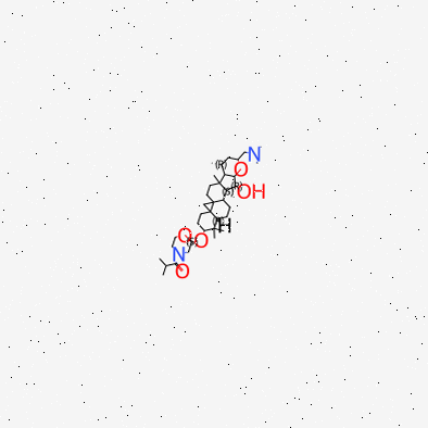 CC(C)C(=O)N1CCO[C@@H](OC2CCC34CC35CCC3(C)C6C(OC(CN(C)C)C[C@H]6C)[C@H](O)[C@@]3(C)C5CC[C@H]4C2(C)C)C1